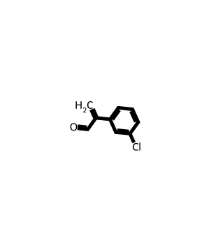 C=C(C=O)c1cccc(Cl)c1